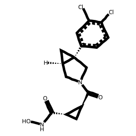 O=C(NO)[C@H]1C[C@@H]1C(=O)N1C[C@H]2C[C@@]2(c2ccc(Cl)c(Cl)c2)C1